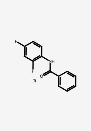 O=C(Nc1ccc(F)[c]c1F)c1ccccc1.[Ti]